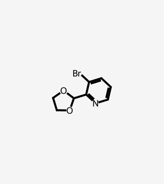 Brc1cccnc1C1OCCO1